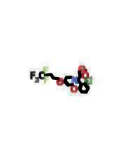 O=c1cc(OCCCC(F)(F)C(F)(F)F)ccn1C(C1=COCO1)c1ccccc1Cl